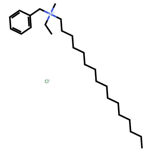 CCCCCCCCCCCCCCCC[N+](C)(CC)Cc1ccccc1.[Cl-]